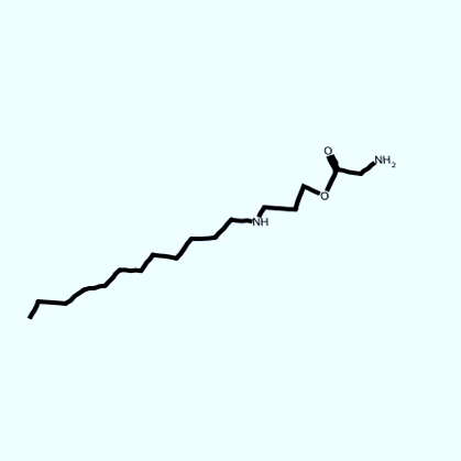 CCCCCCCCCCCCNCCCOC(=O)CN